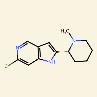 CN1CCCC[C@@H]1c1cc2cnc(Cl)cc2[nH]1